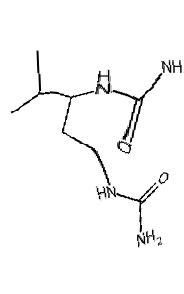 CC(C)C(CCNC(N)=O)NC(N)=O